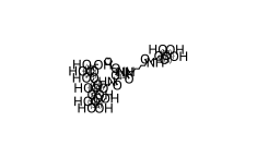 C[C@@H]1O[C@@H](OCCNC(=O)CCCCCNC(=O)[C@H](CCC(=O)NCCO[C@H]2O[C@H](CO[C@H]3O[C@H](CO)[C@@H](O)[C@H](O)[C@@H]3O)[C@@H](O)[C@H](O[C@H]3O[C@H](CO)[C@@H](O)[C@H](O)[C@@H]3O)[C@@H]2O)NC(=O)OCc2ccccc2)[C@@H](O)[C@H](O)[C@@H]1O